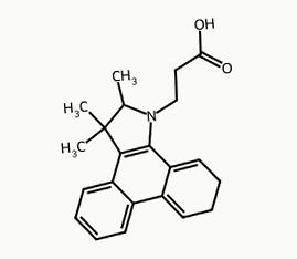 CC1N(CCC(=O)O)c2c(c3ccccc3c3c2=CCCC=3)C1(C)C